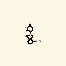 CCCCCCc1cccc2c1CN(C1CCC(=O)NC1=O)C2=O